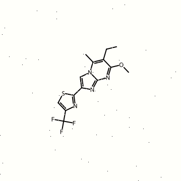 CCc1c(OC)nc2nc(-c3nc(C(F)(F)F)cs3)cn2c1C